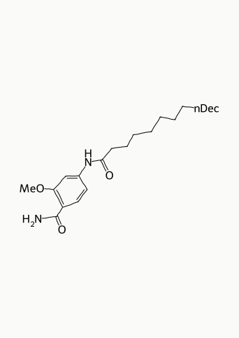 CCCCCCCCCCCCCCCCCC(=O)Nc1ccc(C(N)=O)c(OC)c1